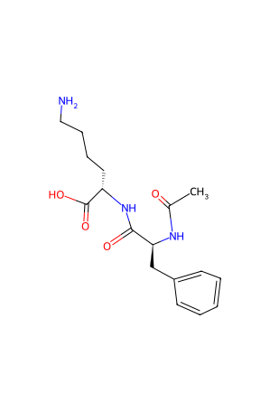 CC(=O)N[C@@H](Cc1ccccc1)C(=O)N[C@@H](CCCCN)C(=O)O